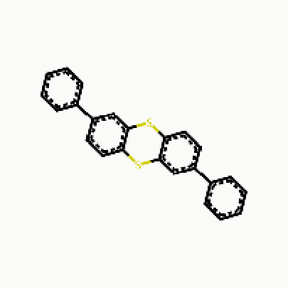 c1ccc(-c2ccc3c(c2)Sc2ccc(-c4ccccc4)cc2S3)cc1